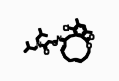 Cc1cc(C)c2c(c1Cl)CC(=N/OCC(=O)N(CC(C)C)CC(C)C)/C=C/CC/C=C/CCOC2=O